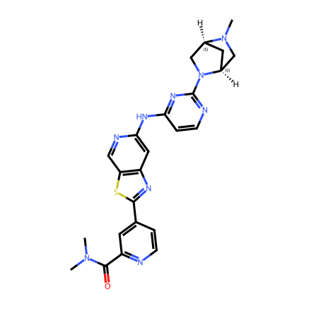 CN(C)C(=O)c1cc(-c2nc3cc(Nc4ccnc(N5C[C@@H]6C[C@H]5CN6C)n4)ncc3s2)ccn1